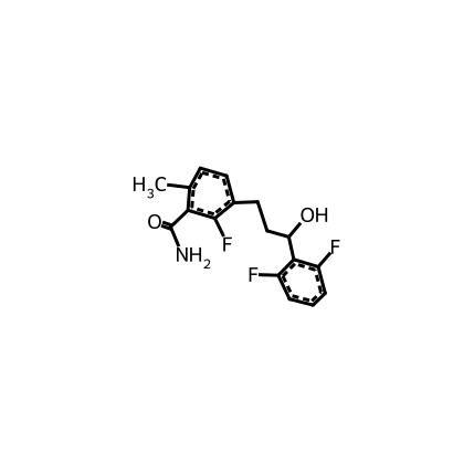 Cc1ccc(CCC(O)c2c(F)cccc2F)c(F)c1C(N)=O